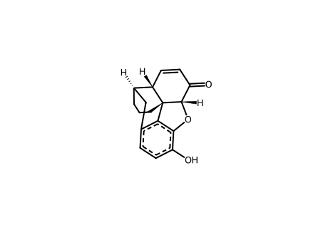 O=C1C=C[C@H]2[C@@H]3CCC[C@@]24c2c(ccc(O)c2O[C@@H]14)C3